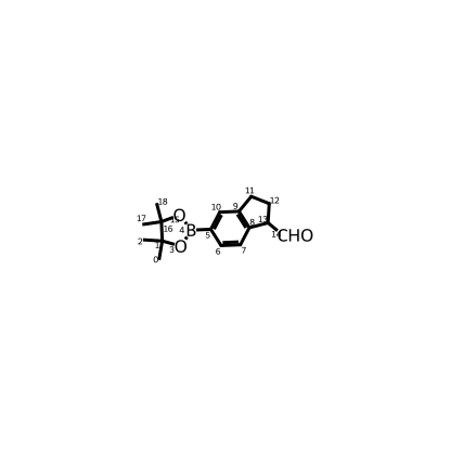 CC1(C)OB(c2ccc3c(c2)CCC3C=O)OC1(C)C